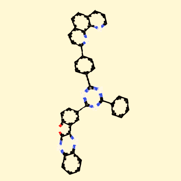 c1ccc(-c2nc(-c3ccc(-c4ccc5ccc6cccnc6c5n4)cc3)nc(-c3ccc4oc5nc6ccccc6nc5c4c3)n2)cc1